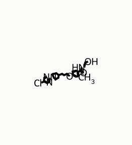 Cc1cc(OCCCC2CCN(c3ncc(Cl)cn3)CC2)ccc1C(=O)NCCO